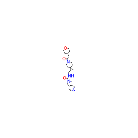 O=C(CC1CCOCC1)N1CCC2(CC1)CC2CNC(=O)N1Cc2ccncc2C1